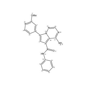 COc1cc(-c2cc(C(=O)Nc3ccccc3)c3c(N)ncnn23)ccn1